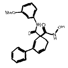 COc1cccc(NC(=O)C2(C(=O)NO)C=C(c3ccccc3)C=CC2)c1